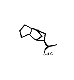 CC(C=O)C1CC2CC1C1CCCC21